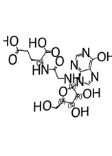 O=C(O)CC[C@H](NC(=O)CN[C@@]1(n2cnc3c(O)ncnc32)O[C@H](CO)[C@@H](O)[C@H]1O)C(=O)O